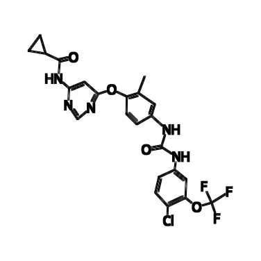 Cc1cc(NC(=O)Nc2ccc(Cl)c(OC(F)(F)F)c2)ccc1Oc1cc(NC(=O)C2CC2)ncn1